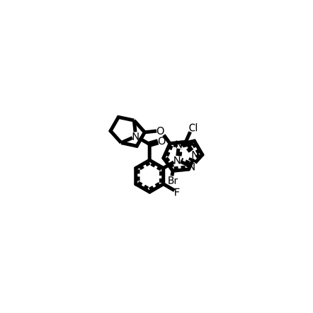 O=C(c1cccc(F)c1-n1nccn1)N1C2CCC1C(Oc1cc(Br)cnc1Cl)C2